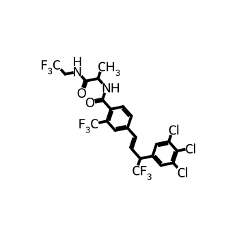 CC(NC(=O)c1ccc(C=CC(c2cc(Cl)c(Cl)c(Cl)c2)C(F)(F)F)cc1C(F)(F)F)C(=O)NCC(F)(F)F